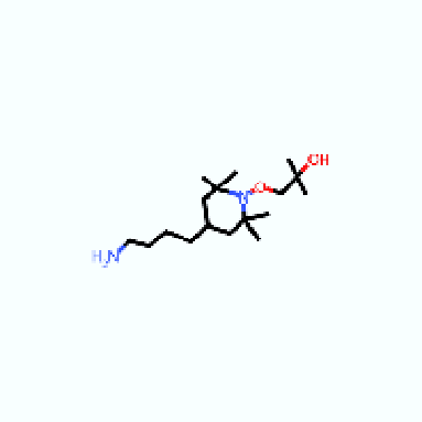 CC(C)(O)CON1C(C)(C)CC(CCCCN)CC1(C)C